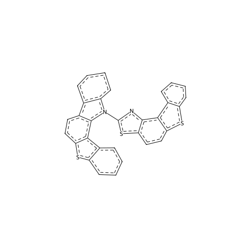 c1ccc2c(c1)sc1ccc3sc(-n4c5ccccc5c5ccc6sc7ccccc7c6c54)nc3c12